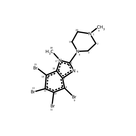 CN1CCN(c2nc3c(Br)c(Br)c(Br)c(Br)c3n2C)CC1